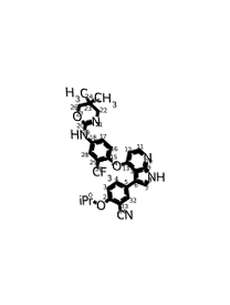 CC(C)Oc1ccc(-c2c[nH]c3nccc(Oc4ccc(NC5=NCC(C)(C)CO5)cc4C(F)(F)F)c23)cc1C#N